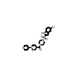 O=C(C1C=CN(c2ccncc2)OC1)N1CCN(S(=O)(=O)c2cc3cc(Cl)ccc3[nH]2)CC1